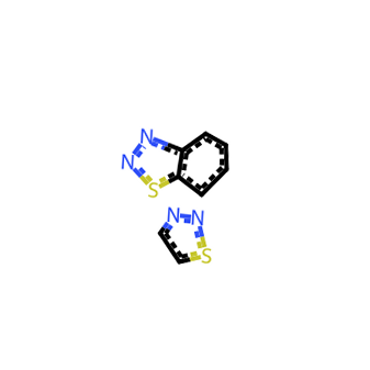 c1ccc2snnc2c1.c1csnn1